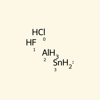 Cl.F.[AlH3].[SnH2]